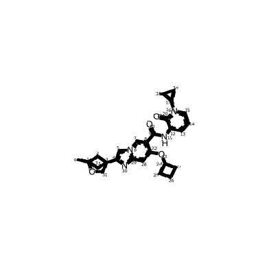 CC12CC(c3cn4cc(C(=O)Nc5cccn(C6CC6)c5=O)c(OC5CCC5)cc4n3)(CO1)C2